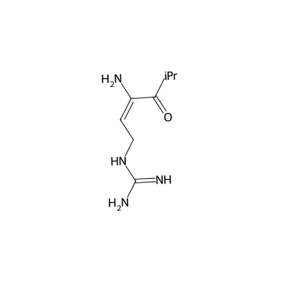 CC(C)C(=O)/C(N)=C\CNC(=N)N